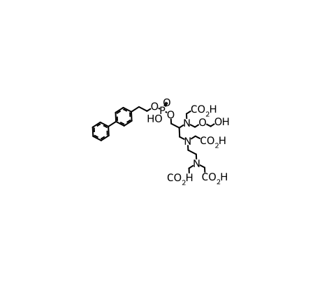 O=C(O)CN(CCN(CC(=O)O)CC(COP(=O)(O)OCCc1ccc(-c2ccccc2)cc1)N(COCO)CC(=O)O)CC(=O)O